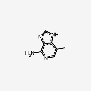 Cc1cnc(N)c2nc[nH]c12